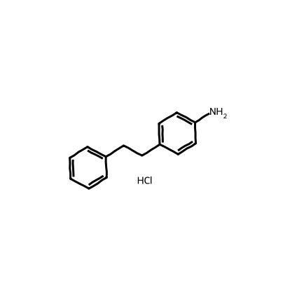 Cl.Nc1ccc(CCc2ccccc2)cc1